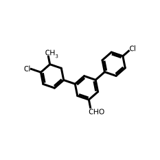 CC1CC(c2cc(C=O)cc(-c3ccc(Cl)cc3)c2)=CC=C1Cl